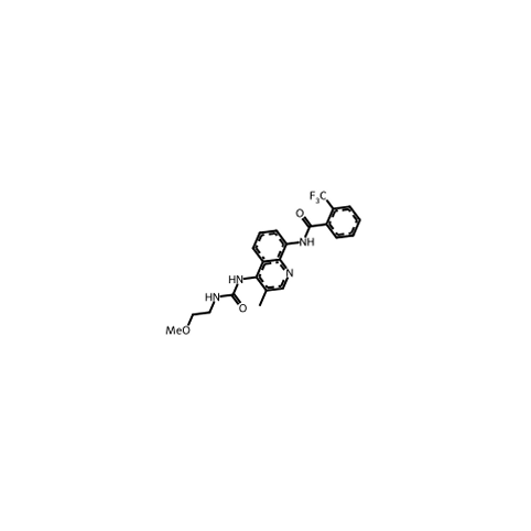 COCCNC(=O)Nc1c(C)cnc2c(NC(=O)c3ccccc3C(F)(F)F)cccc12